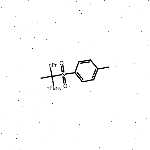 CCCCCC(C)(CCC)S(=O)(=O)c1ccc(C)cc1